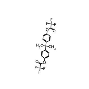 CC(C)(c1ccc(OC(=O)C(F)(F)F)cc1)c1ccc(OC(=O)C(F)(F)F)cc1